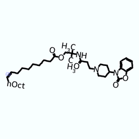 CCCCCCCC/C=C\CCCCCCCC(=O)OCC(C)(C)NC(=O)CCN1CCC(n2c(=O)oc3ccccc32)CC1